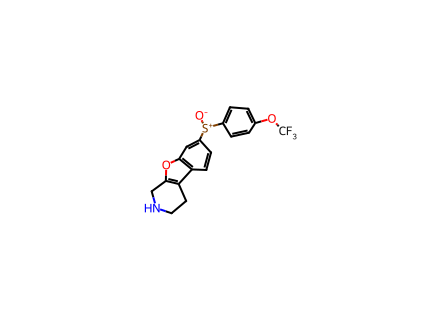 [O-][S+](c1ccc(OC(F)(F)F)cc1)c1ccc2c3c(oc2c1)CNCC3